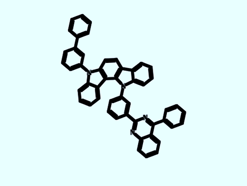 c1ccc(-c2cccc(-n3c4ccccc4c4c3ccc3c5ccccc5n(-c5cccc(-c6nc(-c7ccccc7)c7ccccc7n6)c5)c34)c2)cc1